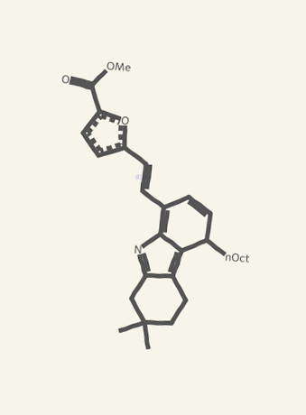 CCCCCCCCC1C=CC(/C=C/c2ccc(C(=O)OC)o2)=C2N=C3CC(C)(C)CCC3=C21